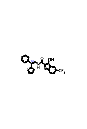 O=C(N/C=C(/c1ccccc1)c1cccs1)c1sc2ccc(C(F)(F)F)cc2c1O